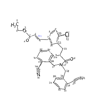 CCOC(=O)/C=C/c1ccc(Cl)c(CCC(=O)N(Cc2ccccc2C#N)Cc2ccccc2C#N)c1